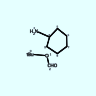 CC(C)(C)OC=O.NC1CCCCC1